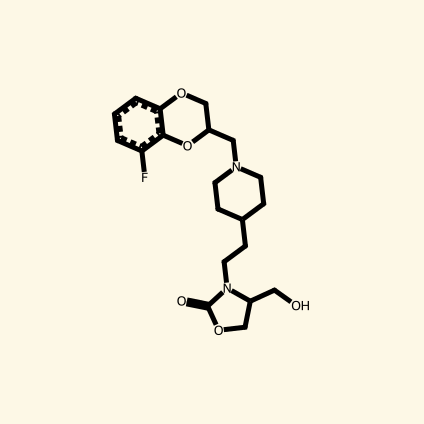 O=C1OCC(CO)N1CCC1CCN(CC2COc3cccc(F)c3O2)CC1